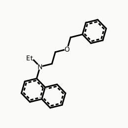 CCN(CCOCc1ccccc1)c1cccc2ccccc12